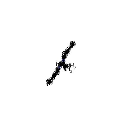 Nc1cc(N)cc(C(CC(=O)/C=C/c2ccc(C(=O)Oc3ccc(OCCCC(F)(F)C(F)(F)F)cc3)cc2)C(O)(O)C(=O)/C=C/c2ccc(C(=O)Oc3ccc(OCCCC(F)(F)C(F)(F)F)cc3)cc2)c1